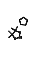 C1CCCC1.CC1(C)OBOC1(C)C